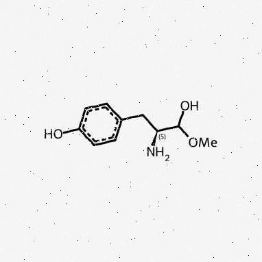 COC(O)[C@@H](N)Cc1ccc(O)cc1